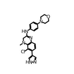 CN1CC(Nc2ccc(N3CCOCC3)cc2)=Nc2ccc(-c3cn[nH]c3)c(Cl)c21